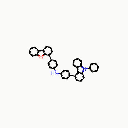 c1ccc(-n2c3ccccc3c3c(-c4ccc(Nc5ccc(-c6cccc7c6oc6ccccc67)cc5)cc4)cccc32)cc1